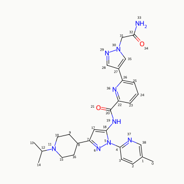 Cc1ccc(-n2nc(C3CCN(C(C)C)CC3)cc2NC(=O)c2cccc(-c3cnn(CC(N)=O)c3)n2)nc1